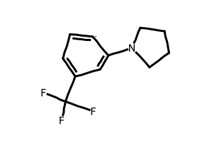 FC(F)(F)c1cc[c]c(N2CCCC2)c1